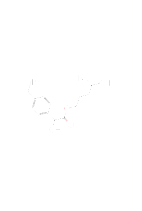 CC(C)Cc1ccc(C(C)C(=O)OCCCC(C)Br)cc1